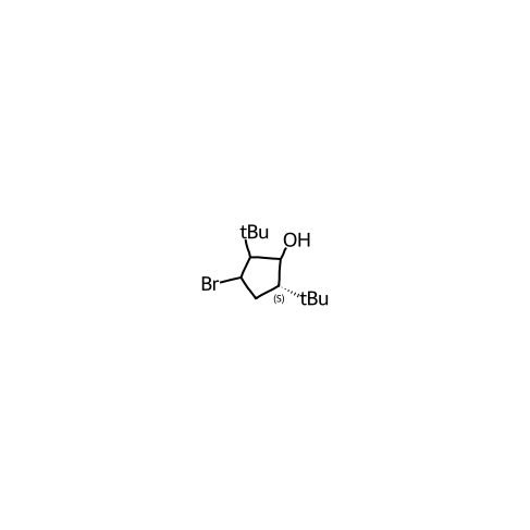 CC(C)(C)C1C(Br)C[C@@H](C(C)(C)C)C1O